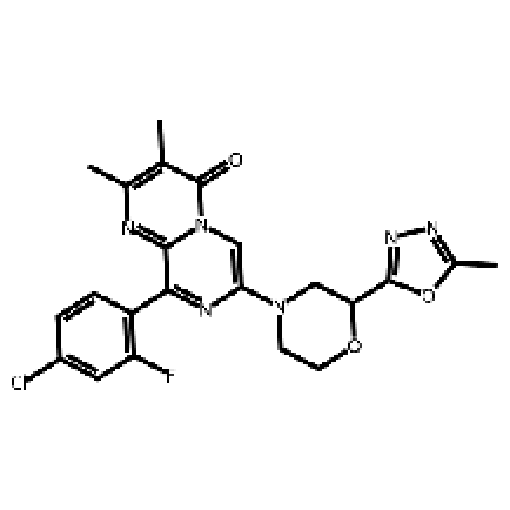 Cc1nnc(C2CN(c3cn4c(=O)c(C)c(C)nc4c(-c4ccc(Cl)cc4F)n3)CCO2)o1